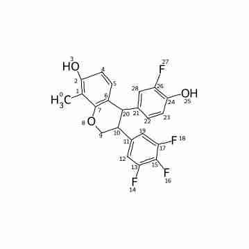 Cc1c(O)ccc2c1OCC(c1cc(F)c(F)c(F)c1)C2c1ccc(O)c(F)c1